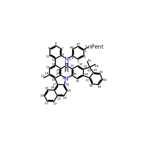 CCCCCc1ccc(Nc2ccccc2-c2cc(C)c3c4c5ccccc5ccc4n4c3c2Bc2cc3c(cc2-4)-c2ccccc2C3(C)C)cc1